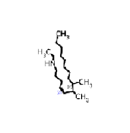 CCCCCCCC[C@@H](C)C(C)/C=C\CCCNCC